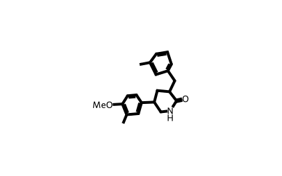 COc1ccc(C2CNC(=O)C(Cc3cccc(C)c3)C2)cc1C